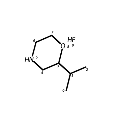 CC(C)C1CNCCO1.F